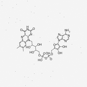 Cc1cc2nc3c(=O)[nH]c(=O)nc-3n(CC(O)C(O)C(O)COP(=O)(O)OP(=O)(O)OCc3oc(-n4cnc5c(N)ncnc54)c(O)c3O)c2cc1C